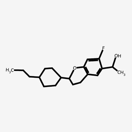 CCCC1CCC(C2CCc3cc(C(C)O)c(F)cc3O2)CC1